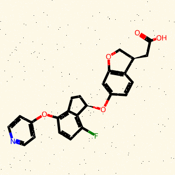 O=C(O)C[C@@H]1COc2cc(O[C@@H]3CCc4c(Oc5ccncc5)ccc(F)c43)ccc21